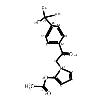 CC(=O)Oc1cccn1CC(=O)c1ccc(C(F)(F)F)cc1